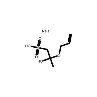 C=CCOC(C)(O)CS(=O)(=O)O.[NaH]